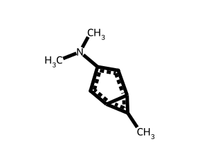 Cc1c2cc(N(C)C)cc1-2